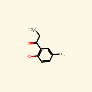 CCOC(=O)CC(=O)c1cc(C)ccc1O